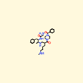 C=C(NCC(CCCCNC)C(=O)N1CCN(C(=O)c2ccccc2)CC1)C(Cc1ccccc1)NC(=O)CN